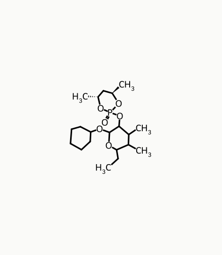 CCC1OC(OC2CCCCC2)C(OP2(=O)O[C@H](C)C[C@@H](C)O2)C(C)C1C